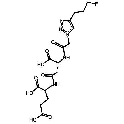 O=C(O)CC[C@H](NC(=O)C[C@@H](NC(=O)Cn1cc(CCCF)nn1)C(=O)O)C(=O)O